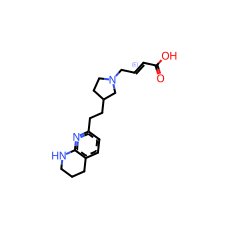 O=C(O)/C=C/CN1CCC(CCc2ccc3c(n2)NCCC3)C1